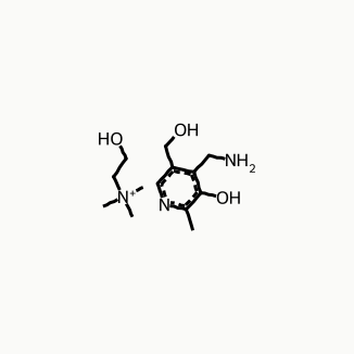 C[N+](C)(C)CCO.Cc1ncc(CO)c(CN)c1O